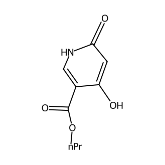 CCCOC(=O)c1c[nH]c(=O)cc1O